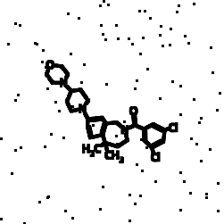 CC1(C)CCN(C(=O)c2cc(Cl)cc(Cl)c2)Cc2cc(N3CCC(N4CCOCC4)CC3)ccc21